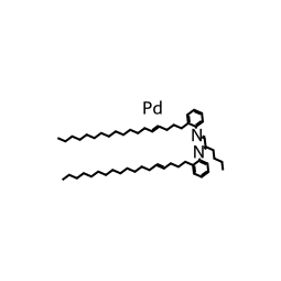 CCCCCCCCCCCCCC=CCCCc1ccccc1N=CC(CCCC)=Nc1ccccc1CCCC=CCCCCCCCCCCCCC.[Pd]